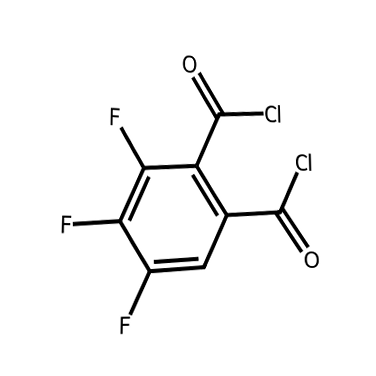 O=C(Cl)c1cc(F)c(F)c(F)c1C(=O)Cl